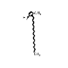 CCCCCCCCCCCCCCCCCc1n(C)cc[n+]1C